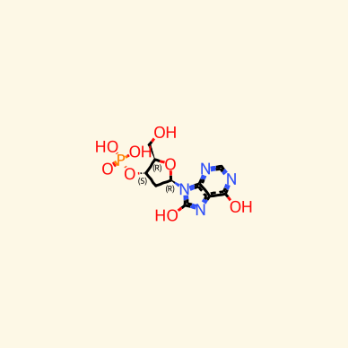 O=P(O)(O)O[C@H]1C[C@H](n2c(O)nc3c(O)ncnc32)O[C@@H]1CO